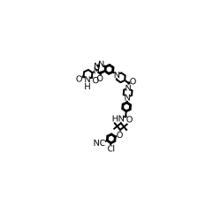 CC1(C)[C@H](NC(=O)c2ccc(N3CCN(C(=O)C4CCN(c5ccc6nnn(C7CCC(=O)NC7=O)c(=O)c6c5)CC4)CC3)cc2)C(C)(C)[C@H]1Oc1ccc(C#N)c(Cl)c1